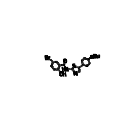 CCCCc1ccc(-c2cnc(NC(=O)c3cc(Br)ccc3O)s2)cc1